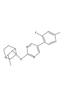 Cc1ccc(-c2cnc(OC3C4CCN(CC4)C3C)nc2)c(F)c1